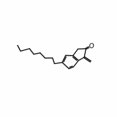 C=C1C(=O)Cc2cc(CCCCCCCC)ccc21